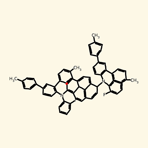 Cc1ccc(-c2ccc(N(C3=C4C=CC5=C6C(=CC=C(C=C3)C46)C(N(c3ccccc3F)c3ccc(-c4ccc(C)cc4)cc3-c3ccc(C)cc3)C=C5)c3ccccc3F)c(-c3ccc(C)cc3)c2)cc1